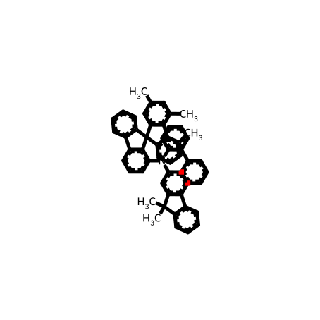 Cc1cc(C)c2c(c1)C1(c3ccccc3-c3cccc(N(c4ccc5c(c4)C(C)(C)c4ccccc4-5)c4ccccc4-c4ccccc4)c31)c1cccc(C)c1-2